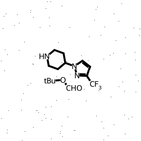 CC(C)(C)OC=O.FC(F)(F)c1ccn(C2CCNCC2)n1